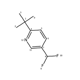 CC(C)(C)c1ccc(C(F)F)cn1